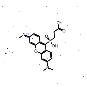 C/N=c1/ccc2c(P(=O)(O)CCC(=O)O)c3ccc(N(C)C)cc3oc-2c1